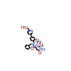 O=C(c1cc(=O)[nH]c(=O)[nH]1)N(Cc1ccccc1)Cc1ccc(-c2ccc(CO)nc2)cc1OC(F)(F)F